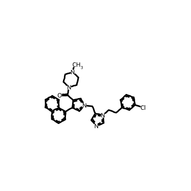 CN1CCN(C(=O)c2cn(Cc3cncn3CCc3cccc(Cl)c3)cc2-c2cccc3ccccc23)CC1